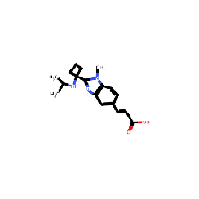 CC(C)NC1(c2nc3cc(/C=C/C(=O)O)ccc3n2C)CCC1